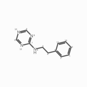 c1ccc(CCNc2ncncn2)cc1